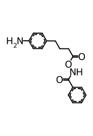 Nc1ccc(CCCC(=O)ONC(=O)c2ccccc2)cc1